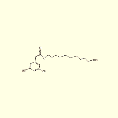 CCCCCCCCCCCCCCCCCCCCOC(=O)Cc1cc(O)cc(O)c1